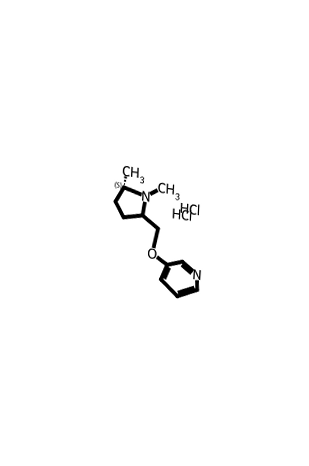 C[C@H]1CCC(COc2cccnc2)N1C.Cl.Cl